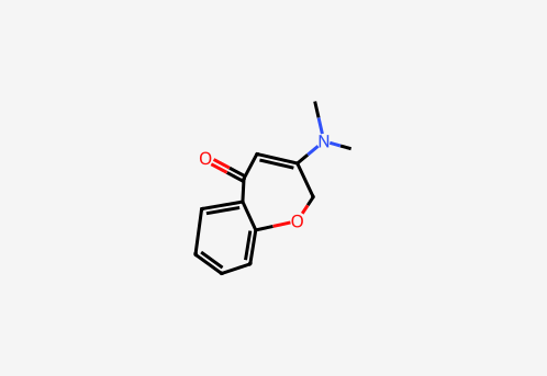 CN(C)C1=CC(=O)c2ccccc2OC1